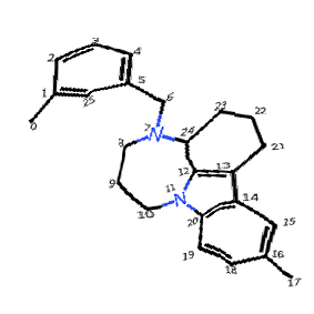 Cc1cccc(CN2CCCn3c4c(c5cc(C)ccc53)CCCC42)c1